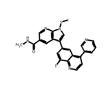 CNC(=O)c1cnc2c(c1)c(-c1cc(F)c3nccc(-c4cccnc4)c3c1)cn2SI